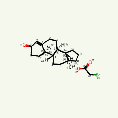 C[C@]12CC[C@H]3[C@@H](CCC4=CC(=O)CC[C@@H]43)[C@@H]1CC[C@@H]2OC(=O)CBr